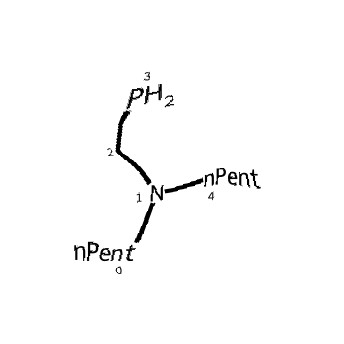 CCCCCN(CP)CCCCC